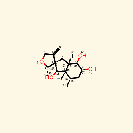 C=C1CO[C@@H](C)[C@]12C[C@@H]1[C@@H](O)[C@@H](O)C[C@@H](C)[C@]1(C)[C@H]2O